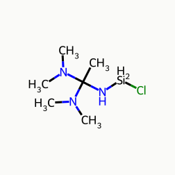 CN(C)C(C)(N[SiH2]Cl)N(C)C